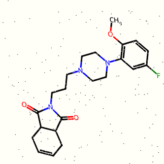 COc1ccc(F)cc1N1CCN(CCCN2C(=O)C3CC=CCC3C2=O)CC1